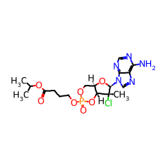 CC(C)OC(=O)CCCOP1(=O)OC[C@H]2O[C@@H](n3cnc4c(N)ncnc43)[C@](C)(Cl)[C@@H]2O1